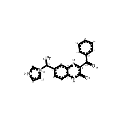 CC(C)C(c1ccc2[nH]c(=O)c(C(=O)c3ccccc3)nc2c1)n1ccnc1